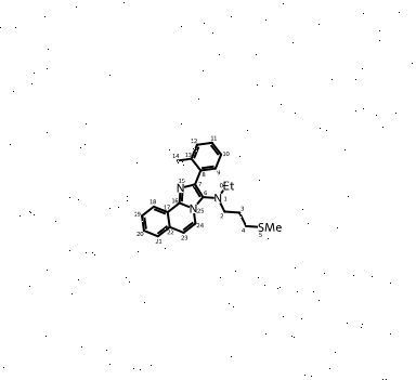 CCN(CCCSC)c1c(-c2ccccc2C)nc2c3ccccc3ccn12